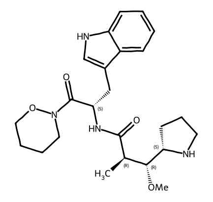 CO[C@@H]([C@@H]1CCCN1)[C@@H](C)C(=O)N[C@@H](Cc1c[nH]c2ccccc12)C(=O)N1CCCCO1